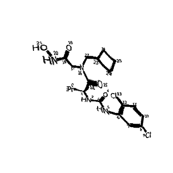 CC(C)[C@H](NC(=O)Nc1cc(Cl)ccc1Cl)C(=O)N(CC(=O)NO)CC1CCC1